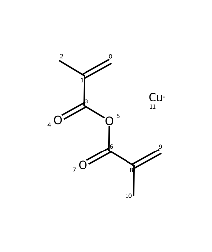 C=C(C)C(=O)OC(=O)C(=C)C.[Cu]